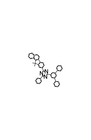 CC1(C)c2cc(-c3nc(-c4ccccc4)nc(-c4cc(-c5ccccc5)cc(-c5ccccc5)c4)n3)ccc2-c2ccc3ccccc3c21